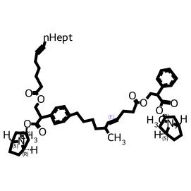 CCCCCCCC#CCCCCC(=O)OCC(C(=O)O[C@H]1C[C@H]2CC[C@@H](C1)N2C)c1ccc(CCCCC(C)/C=C/CCC(=O)OCC(C(=O)O[C@H]2C[C@H]3CC[C@@H](C2)N3C)c2ccccc2)cc1